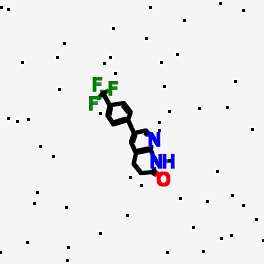 O=C1CCc2cc(-c3ccc(C(F)(F)F)cc3)cnc2N1